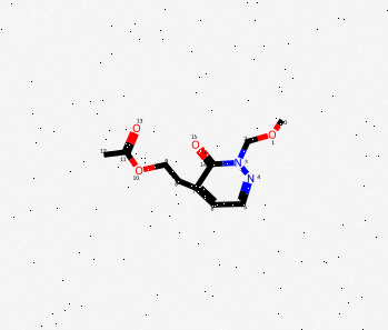 COCn1nccc(CCOC(C)=O)c1=O